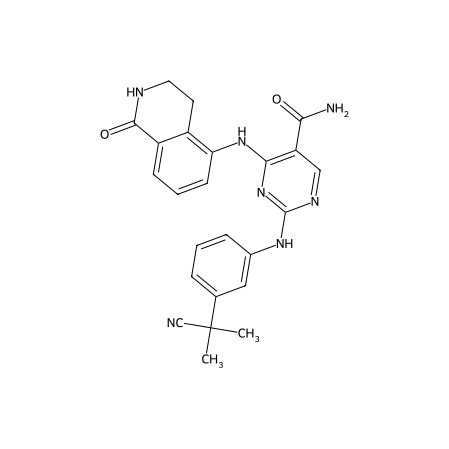 CC(C)(C#N)c1cccc(Nc2ncc(C(N)=O)c(Nc3cccc4c3CCNC4=O)n2)c1